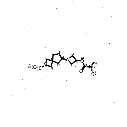 CCOC(=O)N1CC2(CCC(N3CC(OC(=O)N(C)CC)C3)C2)C1